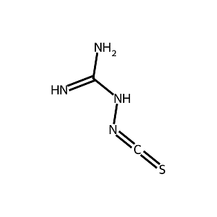 N=C(N)NN=C=S